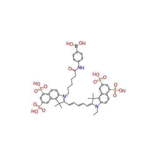 CCN1/C(=C/C=C/C=C/C2=[N+](CCCCCC(=O)Nc3ccc(B(O)O)cc3)c3ccc4c(S(=O)(=O)O)cc(S(=O)(=O)O)cc4c3C2(C)C)C(C)(C)c2c1ccc1c(S(=O)(=O)O)cc(S(=O)(=O)O)cc21